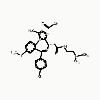 COc1ccc2c(c1)C(c1ccc(Cl)cc1)=N[C@@H](CC(=O)NCCN(C)C)c1nnc(C)n1-2.O=CO